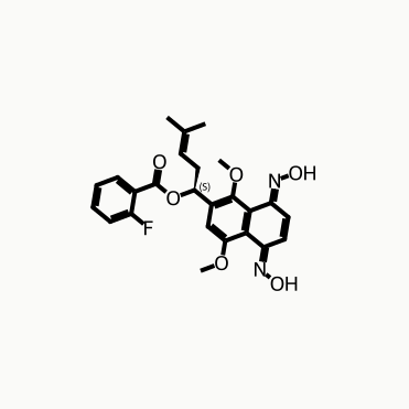 COc1cc([C@H](CC=C(C)C)OC(=O)c2ccccc2F)c(OC)c2c1C(=NO)C=CC2=NO